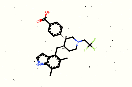 Cc1cc(C)c2[nH]ccc2c1C[C@@H]1CCN(CC(F)(F)F)C[C@H]1c1ccc(C(=O)O)cc1